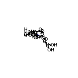 CO[C@H]1CC2C=C[C@@H]3[C@@H]4O[C@@]2(/C(C)=C/[C@H](C)[C@@H]([C@@H](C)OC(=O)OCCN(CCO)CCO)OC1=O)[C@H]3[C@@H](O)[C@H](C)[C@@H]4OC(=O)c1ccc[nH]1